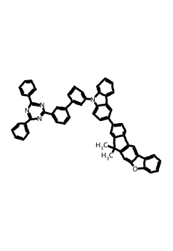 CC1(C)c2cc(-c3ccc4c(c3)c3ccccc3n4-c3cccc(-c4cccc(-c5nc(-c6ccccc6)nc(-c6ccccc6)n5)c4)c3)ccc2-c2cc3c(cc21)oc1ccccc13